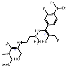 CCN(CC)c1ccc(/C(NN(N)CCN/C(CO)=C(\N)N(C)CNC)=C(/S)CF)cc1F